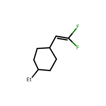 CCC1CCC(C=C(F)F)CC1